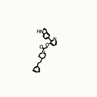 O=C(COc1cccnc1-c1ccc2[nH]ccc2c1)N1CCC(CCc2ccccc2)CC1